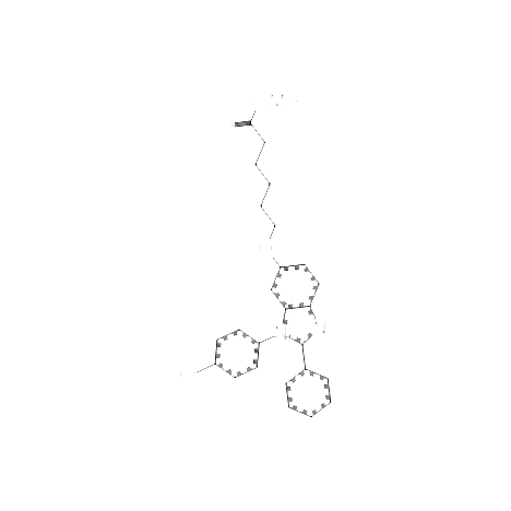 COC(=O)CCCCCOc1ccc2nc(-c3ccccc3)n(-c3ccc(Cl)cc3)c2c1